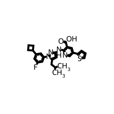 CC(C)Cc1cc(Nc2ncc(-c3cccs3)cc2C(=O)O)nn1-c1cc(F)cc(C2CCC2)c1